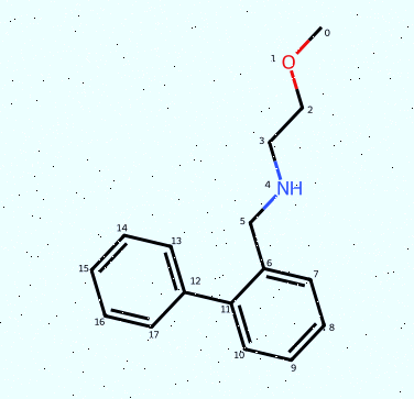 COCCNCc1c[c]ccc1-c1ccccc1